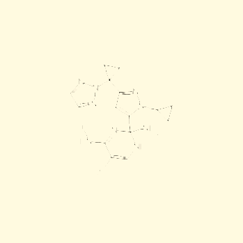 CCNC1=NC(N)(c2cc(C3(n4nccn4)CC3)nn2C2CC2)NC=C1C(F)(F)F